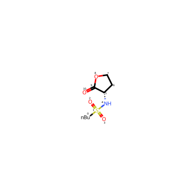 CCCCS(=O)(=O)N[C@H]1CCOC1=O